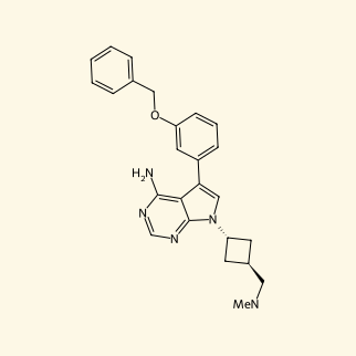 CNC[C@H]1C[C@H](n2cc(-c3cccc(OCc4ccccc4)c3)c3c(N)ncnc32)C1